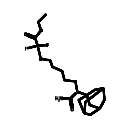 CCOC(=O)C(F)(F)OCCCCCN(C(N)=O)C12CC3CC(CC(C3)C1)C2